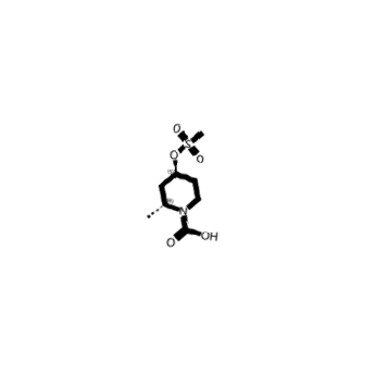 C[C@@H]1C[C@@H](OS(C)(=O)=O)CCN1C(=O)O